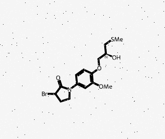 COc1cc(N2CCC(Br)C2=O)ccc1OC[C@H](O)CSC